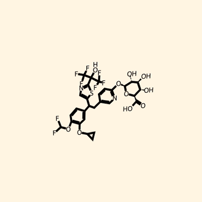 O=C(O)[C@H]1O[C@@H](Oc2ccc(CC(c3ccc(OC(F)F)c(OC4CC4)c3)c3cnc(C(O)(C(F)(F)F)C(F)(F)F)s3)cn2)[C@H](O)[C@@H](O)[C@@H]1O